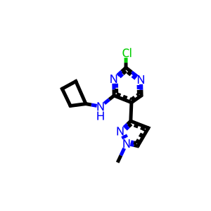 Cn1ccc(-c2cnc(Cl)nc2NC2CCC2)n1